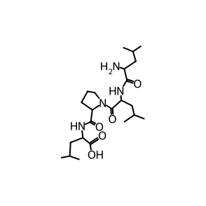 CC(C)CC(N)C(=O)NC(CC(C)C)C(=O)N1CCCC1C(=O)NC(CC(C)C)C(=O)O